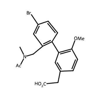 COc1ccc(CC(=O)O)cc1-c1ccc(Br)cc1CN(C)C(C)=O